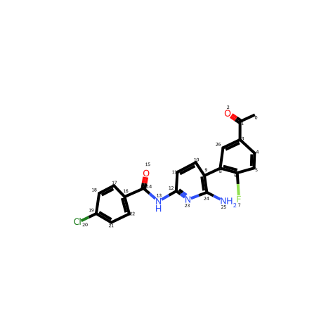 CC(=O)c1ccc(F)c(-c2ccc(NC(=O)c3ccc(Cl)cc3)nc2N)c1